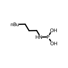 CCCCCCCNP(O)O